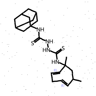 CC1/C=C/C/C=C/C(C)(NC(=S)NNC(=S)NC23CC4CC(CC(C4)C2)C3)C1